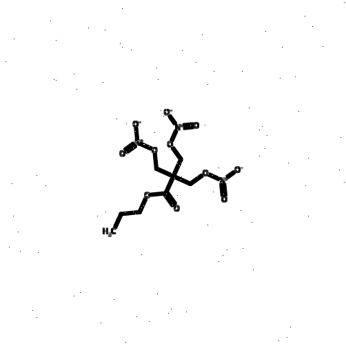 CCCOC(=O)C(CO[N+](=O)[O-])(CO[N+](=O)[O-])CO[N+](=O)[O-]